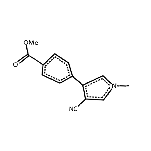 COC(=O)c1ccc(-c2cn(C)cc2C#N)cc1